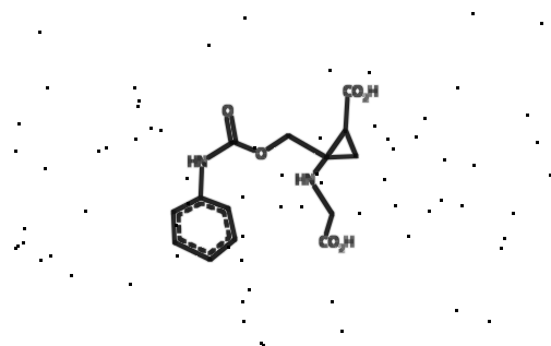 O=C(O)CNC1(COC(=O)Nc2ccccc2)CC1C(=O)O